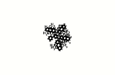 CC1(C)c2ccccc2C(C)(C)c2cc(N3c4cc5c(cc4B4c6cc7c(cc6N(c6ccc8c(c6)C(C)(C)c6ccccc6C8(C)C)c6cc(-c8ccccc8)cc3c64)C(C)(C)c3ccccc3C7(C)C)C(C)(C)c3ccccc3C5(C)C)ccc21